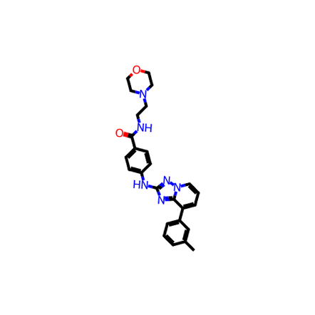 Cc1cccc(-c2cccn3nc(Nc4ccc(C(=O)NCCN5CCOCC5)cc4)nc23)c1